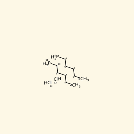 CCCCCP.CCCCCP.Cl.Cl